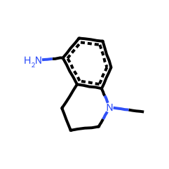 CN1CCCc2c(N)cccc21